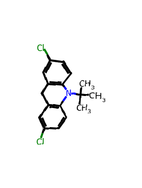 CC(C)(C)N1c2ccc(Cl)cc2Cc2cc(Cl)ccc21